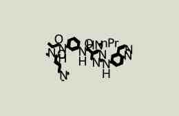 CCCNc1nc(Nc2ccc3nnccc3c2)ncc1C(=O)Nc1cccc(NC(=O)C(C)N(C)C(=O)C=CCN(C)C)c1